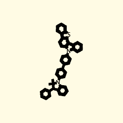 CC1(C)C(c2ccccc2)c2ccccc2N1c1ccc(-c2ccc(-n3c4ccccc4c4c5sc6ccccc6c5ccc43)cc2)cc1